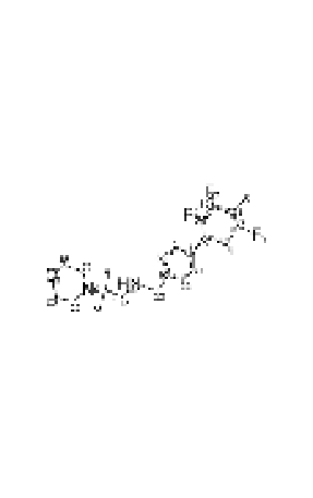 Cc1c(F)cc(-c2ccc(CNCC(C)(C)N3CCOCC3)cc2)c(F)c1F